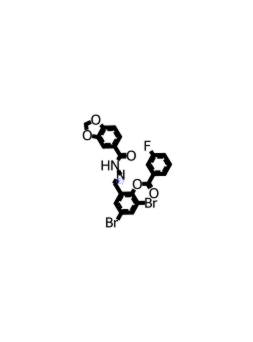 O=C(N/N=C/c1cc(Br)cc(Br)c1OC(=O)c1cccc(F)c1)c1ccc2c(c1)OCO2